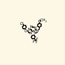 COc1ccc(CN2C[C@H](c3cccc(C(F)(F)F)c3)N(c3cnc(Oc4ccc(Cl)cc4)cn3)/C2=N\C#N)cc1